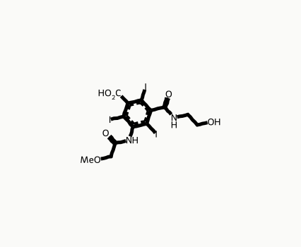 COCC(=O)Nc1c(I)c(C(=O)O)c(I)c(C(=O)NCCO)c1I